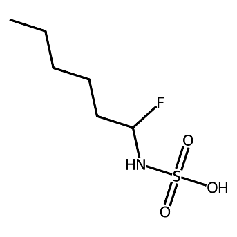 CCCCCC(F)NS(=O)(=O)O